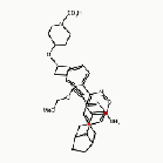 COCOc1ccccc1-c1cc(N2CC3CCC(C2)N3c2ccnc(C#C[C@H]3C[C@H](OC4CCN(C(=O)O)CC4)C3)c2)c(N)nn1